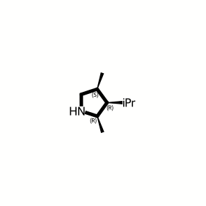 CC(C)[C@@H]1[C@H](C)CN[C@@H]1C